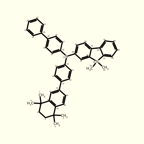 CC1(C)CCC(C)(C)c2cc(-c3ccc(N(c4ccc(-c5ccccc5)cc4)c4ccc5c(c4)[Si](C)(C)c4ccccc4-5)cc3)ccc21